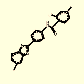 Cc1ccc(C(=O)Nc2ccc(-c3nc4ccc(C)cc4s3)cc2)c(Cl)c1